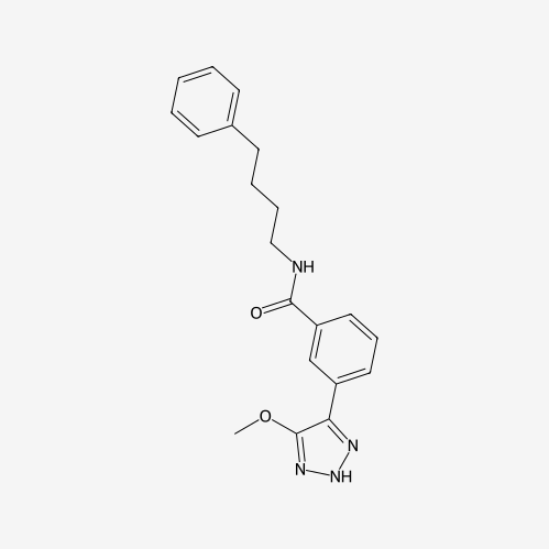 COc1n[nH]nc1-c1cccc(C(=O)NCCCCc2ccccc2)c1